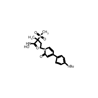 CCCCc1ccc(-c2ccn(CCC(C)(C(=O)NO)S(C)(=O)=O)c(=O)c2)cc1